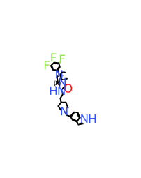 C[C@@H]1CN(c2cc(F)c(F)c(F)c2)CCN1C(=O)NCCC1CCN(Cc2ccc3[nH]ccc3c2)CC1